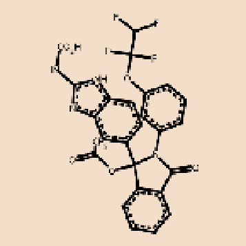 O=C(O)Nc1nc2cc(C3(OC(=O)C(F)(F)F)c4ccccc4C(=O)N3c3cccc(OC(F)(F)C(F)F)c3)ccc2[nH]1